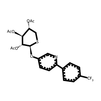 CC(=O)O[C@@H]1[C@@H](OC(C)=O)[C@H](OC(C)=O)CS[C@H]1Oc1ccc(-c2ccc(C(F)(F)F)cc2)nc1